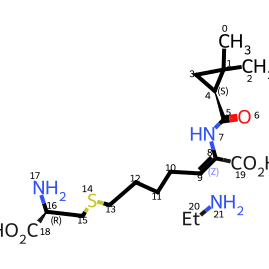 CC1(C)C[C@@H]1C(=O)N/C(=C\CCCCSC[C@H](N)C(=O)O)C(=O)O.CCN